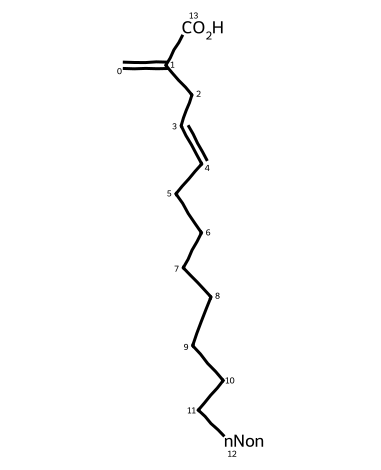 C=C(CC=CCCCCCCCCCCCCCCCC)C(=O)O